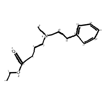 CCOC(=O)CCCN(C)CCc1ccccc1